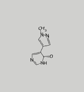 Cn1cc(-c2cnc[nH]c2=O)cn1